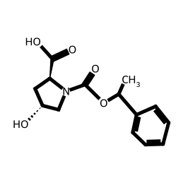 CC(OC(=O)N1C[C@H](O)C[C@H]1C(=O)O)c1ccccc1